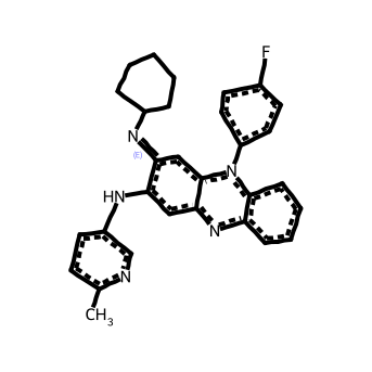 Cc1ccc(Nc2cc3nc4ccccc4n(-c4ccc(F)cc4)c-3c/c2=N\C2CCCCC2)cn1